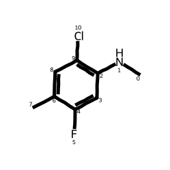 CNc1cc(F)c(C)cc1Cl